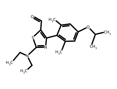 CCN(CC)c1nc(-c2c(C)cc(OC(C)C)cc2C)c(C=O)s1